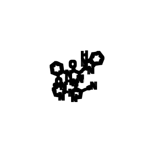 COc1ccccc1NC(=O)C(N=Nc1c(C#N)cnn1-c1ncccn1)c1nc2ccccc2[nH]1